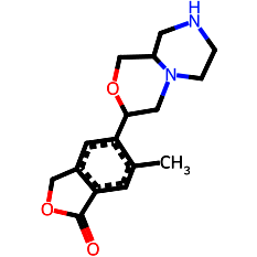 Cc1cc2c(cc1C1CN3CCNCC3CO1)COC2=O